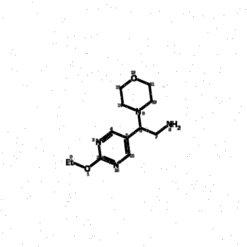 CCOc1ncc(C(CN)N2CCOCC2)cn1